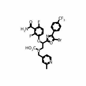 Cc1cc(CN(CC(Oc2ccc(F)c(C(N)=O)c2F)c2nc(-c3ccc(C(F)(F)F)cc3)c(Br)o2)C(=O)O)ccn1